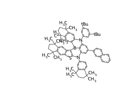 CC(C)(C)c1cc(N2c3cc4c(cc3B3c5c2cc(-c2ccc6ccccc6c2)cc5N(c2ccc5c(c2)C(C)(C)CCC5(C)C)c2sc5cc6c(cc5c23)C(C)(C)CCC6(C)C)C(C)(C)CCC4(C)C)cc(C(C)(C)C)c1